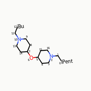 CCCC(C)CN1CCC(OC2CCN(CC(C)CC)CC2)CC1